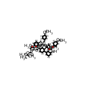 COc1ccc(CN(Cc2ccc(OC)cc2)S(=O)(=O)c2c(S(=O)(=O)N[C@H]3CCN(C(=O)OC(C)(C)C)C3)ccc(-c3cccc4[nH]c(N)nc34)c2-c2nnn(Cc3ccc(OC)cc3)n2)cc1